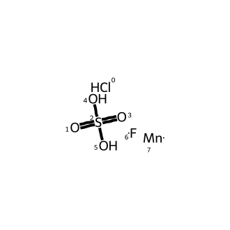 Cl.O=S(=O)(O)O.[F].[Mn]